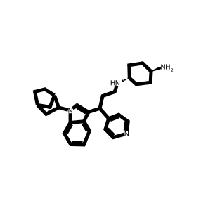 N[C@H]1CC[C@H](NCCC(c2ccncc2)c2cn(C3CC4CCC3C4)c3ccccc23)CC1